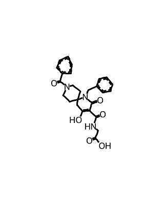 O=C(O)CNC(=O)C1=C(O)CC2(CCN(C(=O)c3ccccc3)CC2)N(Cc2ccccc2)C1=O